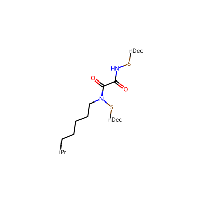 CCCCCCCCCCSNC(=O)C(=O)N(CCCCCC(C)C)SCCCCCCCCCC